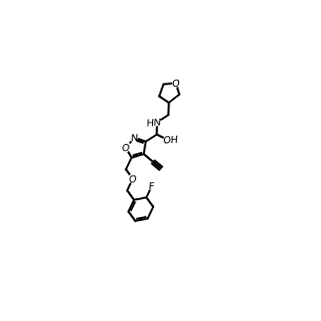 C#Cc1c(C(O)NCC2CCOC2)noc1COCC1=CC=CCC1F